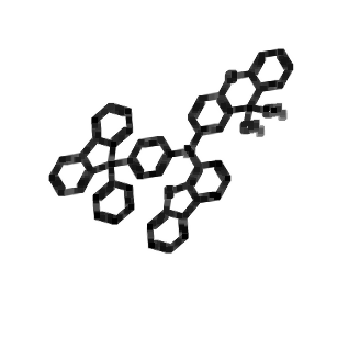 CC1(C)c2ccccc2Oc2ccc(N(c3ccc(C4(c5ccccc5)c5ccccc5-c5ccccc54)cc3)c3cccc4c3sc3ccccc34)cc21